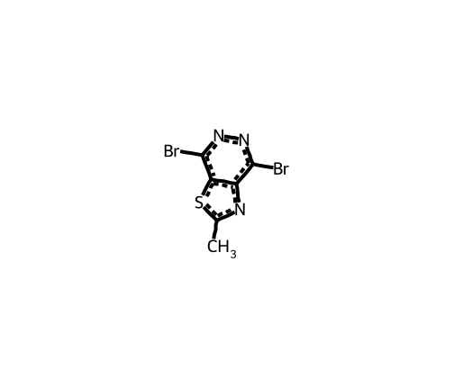 Cc1nc2c(Br)nnc(Br)c2s1